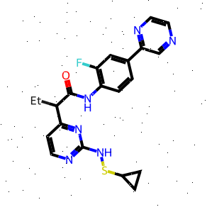 CCC(C(=O)Nc1ccc(-c2cnccn2)cc1F)c1ccnc(NSC2CC2)n1